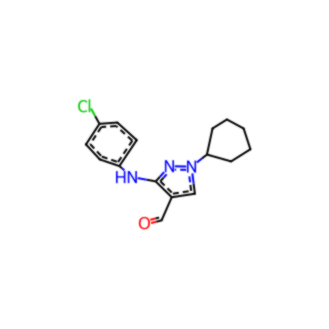 O=Cc1cn(C2CCCCC2)nc1Nc1ccc(Cl)cc1